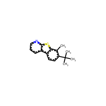 Cc1c(C(C)(C)C)ccc2c1sc1ncccc12